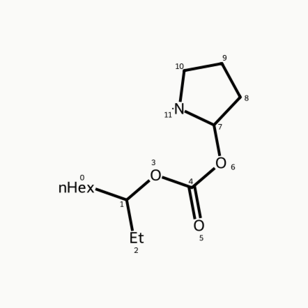 CCCCCCC(CC)OC(=O)OC1CCC[N]1